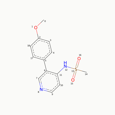 COc1ccc(-c2cnccc2NS(C)(=O)=O)cc1